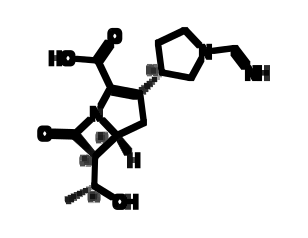 C[C@@H](O)[C@H]1C(=O)N2C(C(=O)O)=C([C@@H]3CCN(C=N)C3)C[C@H]12